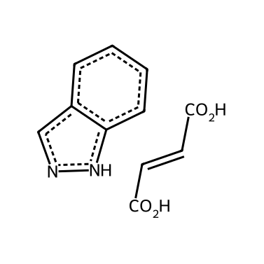 O=C(O)C=CC(=O)O.c1ccc2[nH]ncc2c1